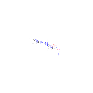 Cc1cc(N=Nc2cc(C)c(N=Nc3c(S(=O)(=O)O)cc4cc(NCOc5ccc(N)cc5)ccc4c3O)cc2C)ccc1N=Nc1ccc(N=Nc2ccc(S(=O)(=O)O)cc2S(=O)(=O)O)c(C)c1